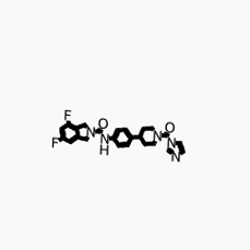 O=C(Nc1ccc(C2CCN(C(=O)n3ccnc3)CC2)cc1)N1Cc2cc(F)cc(F)c2C1